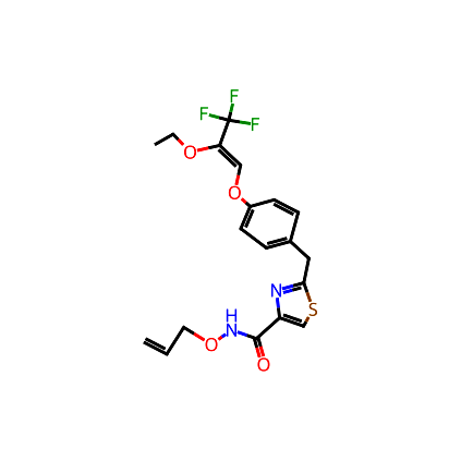 C=CCONC(=O)c1csc(Cc2ccc(O/C=C(\OCC)C(F)(F)F)cc2)n1